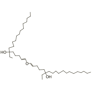 CCCCCCCCCCCCCC(O)(CC)CCCC=COC=CCCCC(O)(CC)CCCCCCCCCCCCC